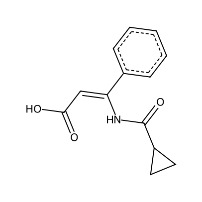 O=C(O)/C=C(\NC(=O)C1CC1)c1ccccc1